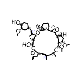 C=CC[C@@H]1/C=C(\C)C[C@H](C)C[C@H](OC)[C@@]2(C)C[C@@](O)(C(=O)C(=O)N3CCCC[C@H]3C(=O)O[C@H](/C(C)=C/[C@@H]3CC[C@@H](O)[C@H](OC)C3)[C@H](C)[C@@H](O)CC1=O)[C@H](C)C[C@@H]2OC